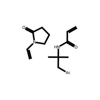 C=CC(=O)NC(C)(C)CC(C)=O.C=CN1CCCC1=O